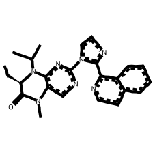 CC[C@@H]1C(=O)N(C)c2cnc(-n3ccnc3-c3nccc4ccccc34)nc2N1C(C)C